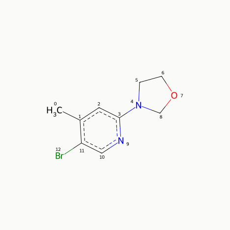 Cc1cc(N2CCOC2)ncc1Br